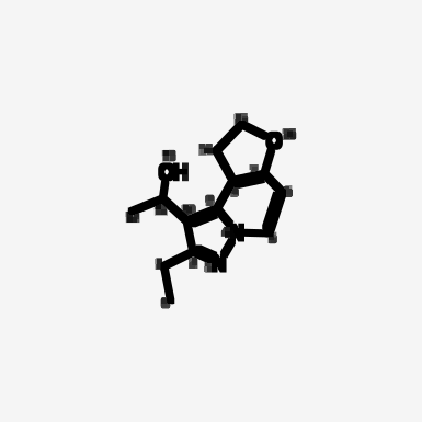 CCc1nn2ccc3c(c2c1C(C)O)CCO3